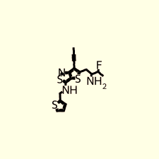 CC#Cc1c(CC(N)C(C)F)sc2c(NCc3cccs3)snc12